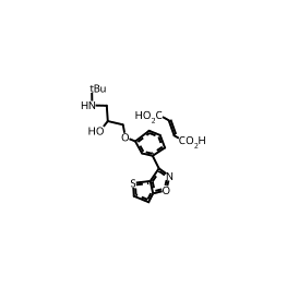 CC(C)(C)NCC(O)COc1cccc(-c2noc3ccsc23)c1.O=C(O)C=CC(=O)O